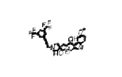 COc1ccc2ncc(Cl)c([C@@H](O)CCC3(C(=O)O)CCN(CC#Cc4cc(C(F)(F)F)cc(C(F)(F)F)c4)CC3)c2c1